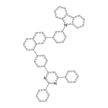 c1ccc(-c2cc(-c3ccc(-c4cccc5ccc(-c6cccc(-n7c8ccccc8c8ccccc87)c6)cc45)cc3)nc(-c3ccccc3)n2)cc1